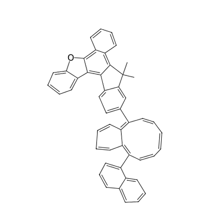 CC1(C)c2cc(-c3ccccccc(-c4cccc5ccccc45)c4ccccc34)ccc2-c2c1c1ccccc1c1oc3ccccc3c21